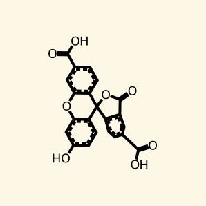 O=C(O)c1ccc2c(c1)Oc1cc(O)ccc1C21OC(=O)c2cc(C(=O)O)ccc21